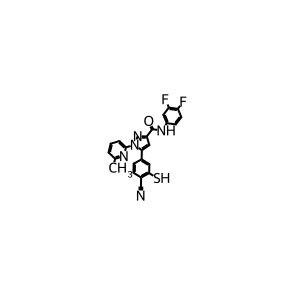 Cc1cccc(-n2nc(C(=O)Nc3ccc(F)c(F)c3)cc2-c2ccc(C#N)c(S)c2)n1